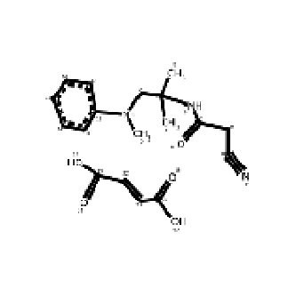 CN(CC(C)(C)NC(=O)CC#N)c1ccccc1.O=C(O)/C=C/C(=O)O